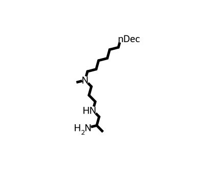 CCCCCCCCCCCCCCCCN(C)CCCNCC(C)N